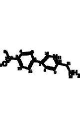 C[S+]([O-])c1ccc(-c2ccc(CN)nc2)cc1